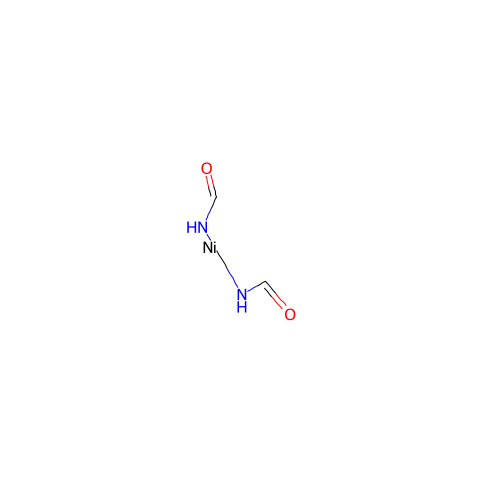 O=C[NH][Ni][NH]C=O